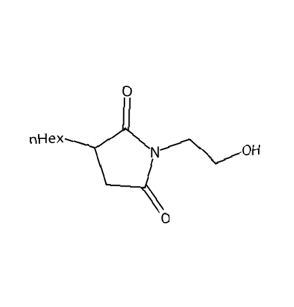 CCCCCCC1CC(=O)N(CCO)C1=O